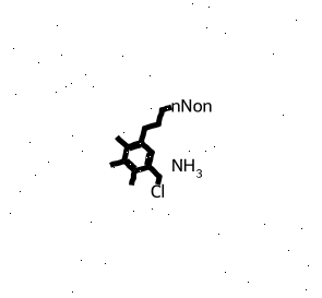 CCCCCCCCCCCCc1cc(CCl)c(C)c(C)c1C.N